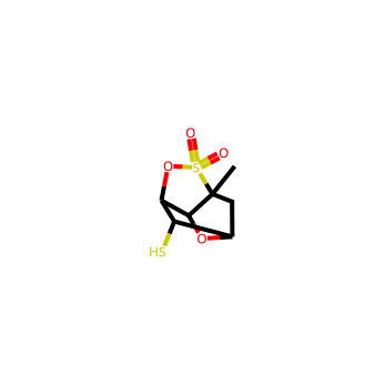 CC12CC3OC1C(OS2(=O)=O)C3S